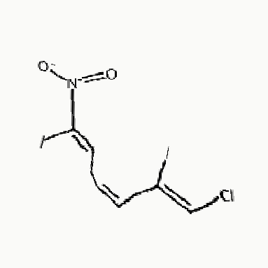 O=[N+]([O-])/C(I)=C/C=C\C(I)=C\Cl